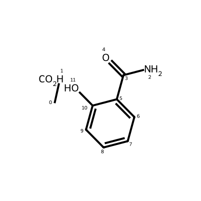 CC(=O)O.NC(=O)c1ccccc1O